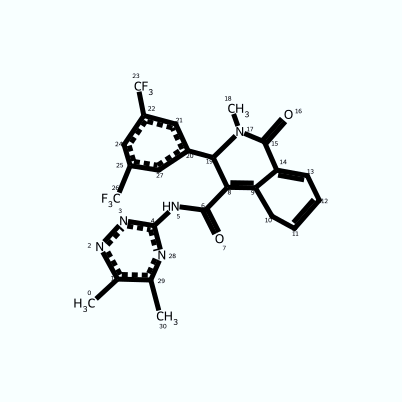 Cc1nnc(NC(=O)C2=C3CC=CC=C3C(=O)N(C)C2c2cc(C(F)(F)F)cc(C(F)(F)F)c2)nc1C